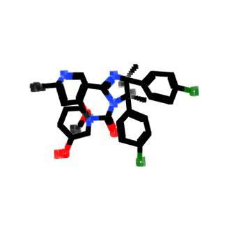 CCOc1cc(C(C)(C)C)ncc1C1=N[C@@](C)(c2ccc(Cl)cc2)[C@@](C)(c2ccc(Cl)cc2)N1C(=O)N1CCCC(O)C1